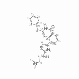 CN(C)CCNc1nc(-c2nccc3c(=O)[nH]c(Cc4ccccc4)nc23)cs1